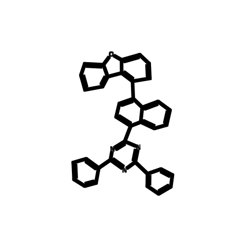 c1ccc(-c2nc(-c3ccccc3)nc(-c3ccc(-c4cccc5oc6ccccc6c45)c4ccccc34)n2)cc1